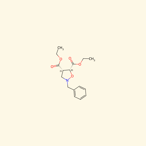 CCOC(=O)[C@H]1CN(Cc2ccccc2)O[C@H]1C(=O)OCC